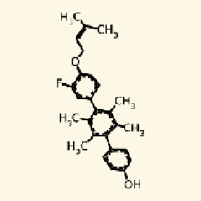 CC(C)=CCOc1ccc(-c2c(C)c(C)c(-c3ccc(O)cc3)c(C)c2C)cc1F